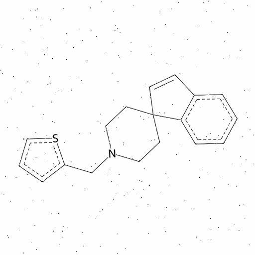 [c]1ccc(CN2CCC3(C=Cc4ccccc43)CC2)s1